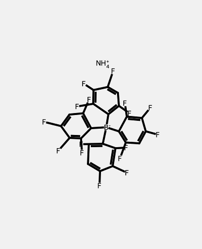 Fc1cc(F)c([B-](c2c(F)cc(F)c(F)c2F)(c2c(F)cc(F)c(F)c2F)c2c(F)cc(F)c(F)c2F)c(F)c1F.[NH4+]